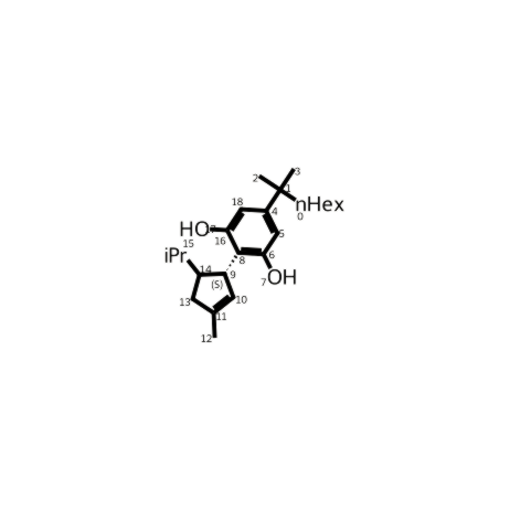 CCCCCCC(C)(C)c1cc(O)c([C@@H]2C=C(C)CC2C(C)C)c(O)c1